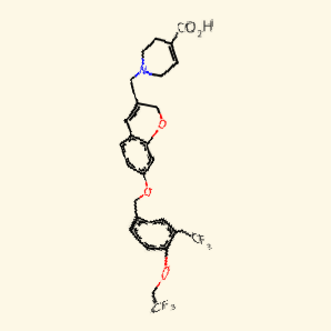 O=C(O)C1=CCN(CC2=Cc3ccc(OCc4ccc(OCC(F)(F)F)c(C(F)(F)F)c4)cc3OC2)CC1